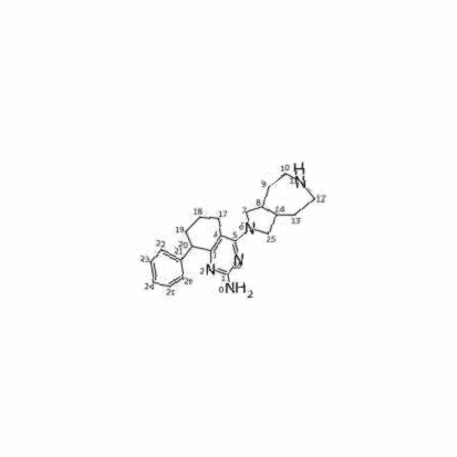 Nc1nc2c(c(N3CC4CCNCCC4C3)n1)CCCC2c1ccccc1